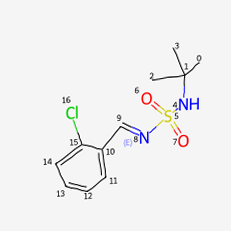 CC(C)(C)NS(=O)(=O)/N=C/c1ccccc1Cl